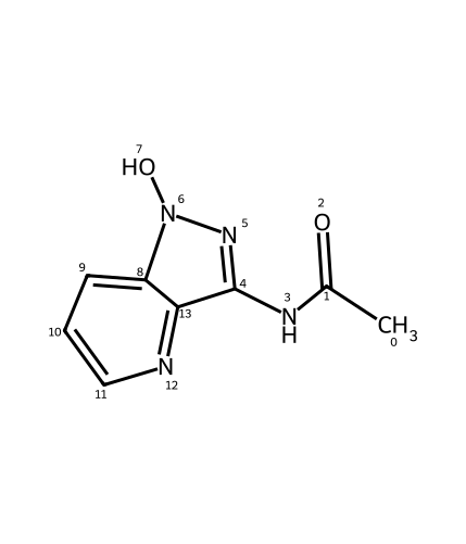 CC(=O)Nc1nn(O)c2cccnc12